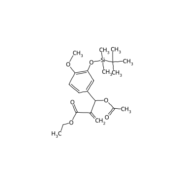 C=C(C(=O)OCC)C(OC(C)=O)c1ccc(OC)c(O[Si](C)(C)C(C)(C)C)c1